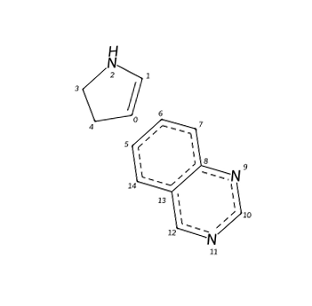 C1=CNCC1.c1ccc2ncncc2c1